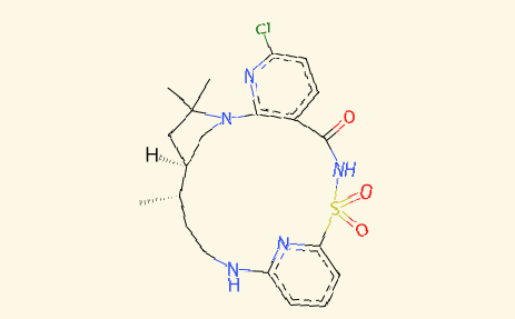 C[C@H]1CCNc2cccc(n2)S(=O)(=O)NC(=O)c2ccc(Cl)nc2N2C[C@@H]1CC2(C)C